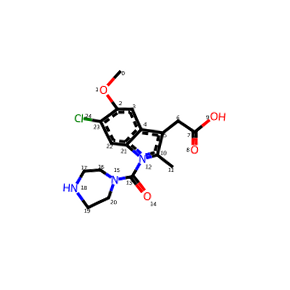 COc1cc2c(CC(=O)O)c(C)n(C(=O)N3CCNCC3)c2cc1Cl